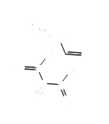 C=CO.O=[PH](O)O[PH](=O)O.[Na].[Na].[Na].[Na]